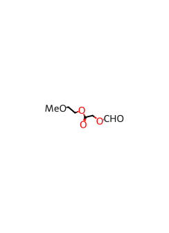 COCCOC(=O)COC=O